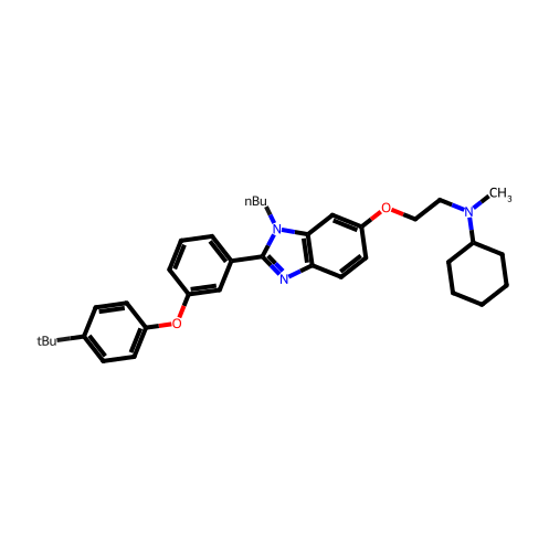 CCCCn1c(-c2cccc(Oc3ccc(C(C)(C)C)cc3)c2)nc2ccc(OCCN(C)C3CCCCC3)cc21